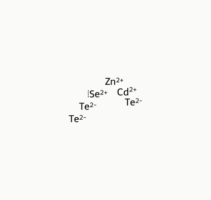 [Cd+2].[Se+2].[Te-2].[Te-2].[Te-2].[Zn+2]